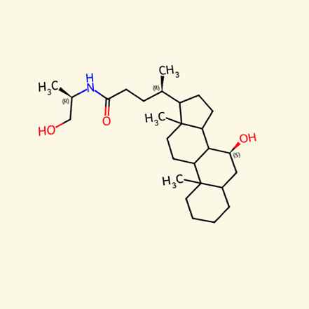 C[C@H](CO)NC(=O)CC[C@@H](C)C1CCC2C3C(CCC21C)C1(C)CCCCC1C[C@@H]3O